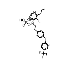 O=P(O)(O)ON(CCc1ccc(Oc2ccc(C(F)(F)F)cn2)cc1)c1ncnc(CCI)c1Cl